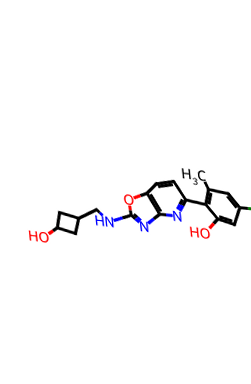 Cc1cc(Cl)cc(O)c1-c1ccc2oc(NCC3CC(O)C3)nc2n1